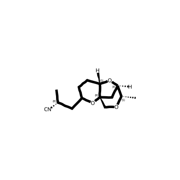 [C-]#[N+][C@H](C)CC1CC[C@@H]2O[C@@H]3C[C@]2(CO[C@H]3C)O1